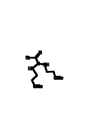 CCC(=O)N(NCCOC)NCCOC